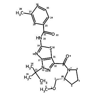 COC[C@H]1CCCN1C(=O)c1nn(C(C)(C)C)c2nc(NC(=O)c3cccc(C)c3)sc12